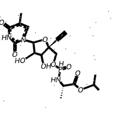 C#C[C@]1(CO[PH](=O)N[C@@H](C)C(=O)OC(C)C)OC(n2cc(C)c(=O)[nH]c2=O)C(O)C1O